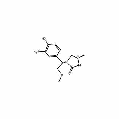 COCC(c1ccc(O)c(N)c1)N1C[C@@H](C)NC1=O